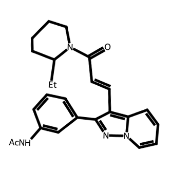 CCC1CCCCN1C(=O)/C=C/c1c(-c2cccc(NC(C)=O)c2)nn2ccccc12